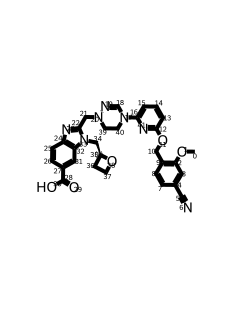 COc1cc(C#N)ccc1COc1cccc(N2C=NN(Cc3nc4ccc(C(=O)O)cc4n3C[C@@H]3CCO3)CC2)n1